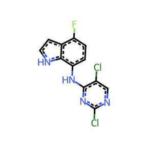 Fc1ccc(Nc2nc(Cl)ncc2Cl)c2[nH]ccc12